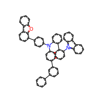 c1ccc(-c2cccc(-c3ccc(N(c4ccc(-c5cccc6c5oc5ccccc56)cc4)c4ccccc4-c4ccccc4-n4c5ccccc5c5ccccc54)cc3)c2)cc1